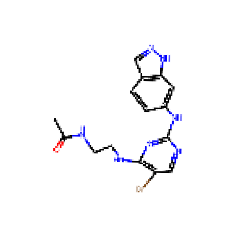 CC(=O)NCCNc1nc(Nc2ccc3cn[nH]c3c2)ncc1Br